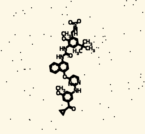 COc1cc(Nc2nccc(Oc3ccc(NC(=O)Nc4cc(C(C)(C)C)cc(CN[SH](=O)=O)c4OC)c4ccccc34)n2)cc(C(=O)C2CC2)c1